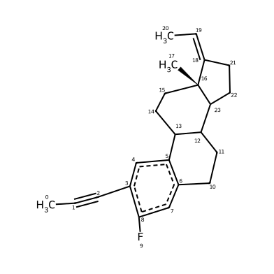 CC#Cc1cc2c(cc1F)CCC1C2CC[C@]2(C)/C(=C\C)CCC12